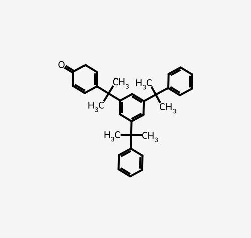 CC(C)(C1=CCC(=O)C=C1)c1cc(C(C)(C)c2ccccc2)cc(C(C)(C)c2ccccc2)c1